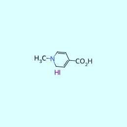 CN1C=CC(C(=O)O)=CC1.I